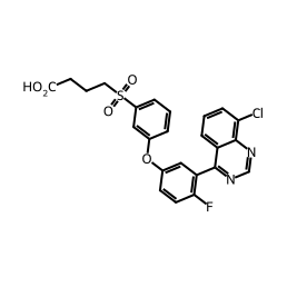 O=C(O)CCCS(=O)(=O)c1cccc(Oc2ccc(F)c(-c3ncnc4c(Cl)cccc34)c2)c1